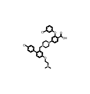 CN(C)CCOc1ccc(-c2ccc(Cl)cc2)c(CN2CCN(c3ccc(C(=O)O)c(Oc4cccc(Cl)c4)c3)CC2)c1